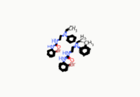 CCN(CCNC(=O)Nc1ccccc1Br)c1ccccc1.CCN(CCNC(=O)Nc1ccccc1Br)c1ccccc1C